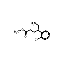 COC(=O)CSC(CN)c1ccccc1Cl